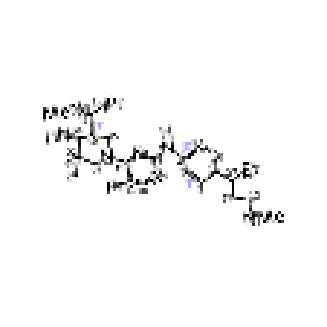 C=C(/C=C\C(=N/C)Nc1ncc(F)c(N2C/C(=C(/NC)C(C)C)C(=N)C(C)(C)C2)n1)C(CC)CCNC